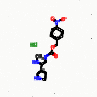 CNC(C=NC(=O)OCc1ccc([N+](=O)[O-])cc1)[C@H]1CCNC1.Cl